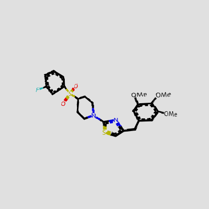 COc1cc(Cc2csc(N3CCC(S(=O)(=O)c4cccc(F)c4)CC3)n2)cc(OC)c1OC